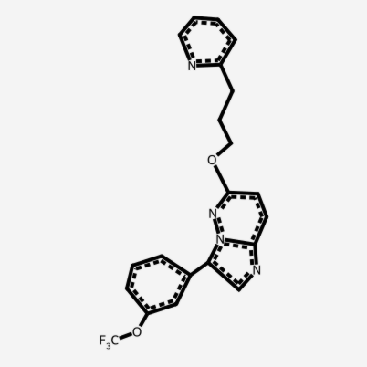 FC(F)(F)Oc1cccc(-c2cnc3ccc(OCCCc4ccccn4)nn23)c1